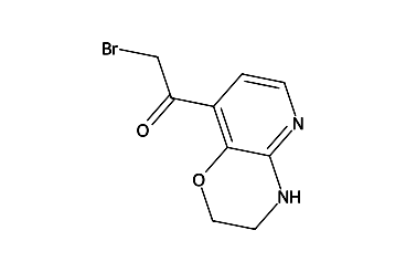 O=C(CBr)c1ccnc2c1OCCN2